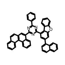 c1ccc(-c2nc(-c3cc4ccc5ccccc5c4c4ccccc34)nc(-c3cc(-c4cccc5ccccc45)cc4oc5ccccc5c34)n2)cc1